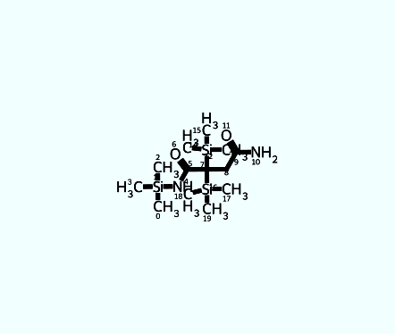 C[Si](C)(C)NC(=O)C(CC(N)=O)([Si](C)(C)C)[Si](C)(C)C